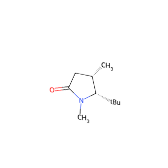 C[C@H]1CC(=O)N(C)[C@H]1C(C)(C)C